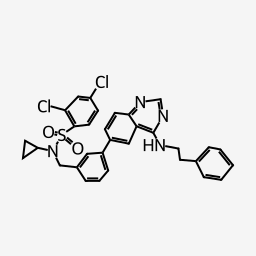 O=S(=O)(c1ccc(Cl)cc1Cl)N(Cc1cccc(-c2ccc3ncnc(NCCc4ccccc4)c3c2)c1)C1CC1